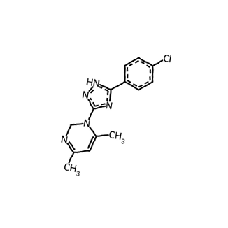 CC1=CC(C)=NCN1c1n[nH]c(-c2ccc(Cl)cc2)n1